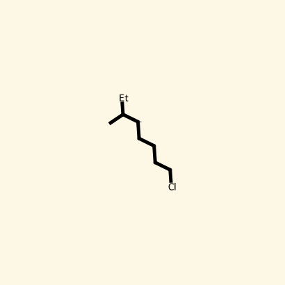 [CH2]CC(C)[CH]CCCCCl